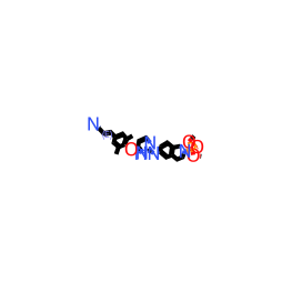 COP(=O)(OC)N1CCc2cc(Nc3nccc(Oc4c(C)cc(/C=C/C#N)cc4C)n3)ccc2C1